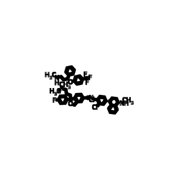 CN(C)CCCC1(c2ccc(F)cc2)OCc2cc(C#N)ccc21.CNCCC(Oc1ccc(C(F)(F)F)cc1)c1ccccc1.CN[C@H]1CC[C@@H](c2ccc(Cl)c(Cl)c2)c2ccccc21